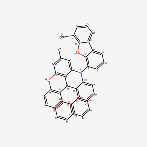 Cc1cc2c3c(c1)N(c1cccc4c1oc1c(C(C)(C)C)cccc14)c1cccc(-c4ccccc4)c1B3c1c(cccc1-c1ccccc1)O2